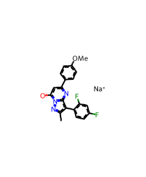 COc1ccc(-c2cc([O-])n3nc(C)c(-c4ccc(F)cc4F)c3n2)cc1.[Na+]